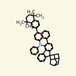 CC1(C)CCC(C)(C)c2cc(-c3ccc(N(c4ccccc4)c4c(-c5ccccc5)ccc5c4-c4ccccc4C54C5CC6CC7CC4C75C6)cc3)ccc21